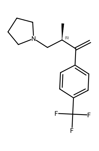 C=C(c1ccc(C(F)(F)F)cc1)[C@H](C)CN1CCCC1